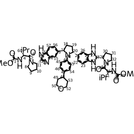 COC(=O)N[C@H](C(=O)N1CCC[C@H]1c1nc2cc([C@H]3CC[C@H](c4ccc5c(c4)NC([C@@H]4CCCN4C(=O)[C@@H](NC(=O)OC)C(C)C)N5)N3c3ccc(C4CCOCC4)cc3)ccc2[nH]1)C(C)C